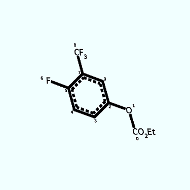 CCOC(=O)Oc1ccc(F)c(C(F)(F)F)c1